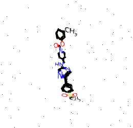 CC1C=C(OC(=O)N2CCC(CNc3cnc(-c4ccc(S(C)(=O)=O)cc4)cn3)CC2)C=CC1